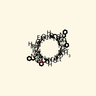 CCN1CC(=O)N(C)[C@@H](C(C)C)C(=O)NC[C@@H](NC(=O)c2nc3ccccc3cc2OCc2ccccc2)C(=O)N2CCCC[C@H]2C(=O)NCC(=O)N(CC)CC(=O)N(C)[C@@H](C(C)C)C(=O)NC[C@@H](NC(=O)c2nc3ccccc3cc2OCc2ccccc2)C(=O)N2CCCC[C@H]2C(=O)NCC1=O